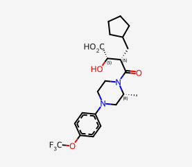 C[C@@H]1CN(c2ccc(OC(F)(F)F)cc2)CCN1C(=O)[C@@H](CC1CCCC1)[C@H](O)C(=O)O